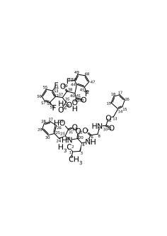 CC(C)C[C@H](NC(=O)CNC(=O)OCc1ccccc1)C(=O)N[C@@H](Cc1ccccc1)C(=O)O.O=C(O)C(C(=O)C(C(=O)O)c1c(F)cccc1F)c1c(F)cccc1F